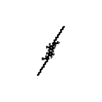 CCCCCCCCCCCCc1cc(-c2c(F)c(F)c3nc4c(F)c(-c5cc(CCCCCCCCCCCC)c(Br)s5)c(F)c(F)c4nc3c2F)sc1Br